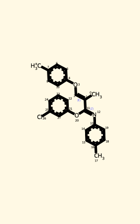 CC(=C\Oc1ccc(C)cc1)/C(=N/c1ccc(C)cc1)Oc1cccc(Cl)c1